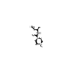 CC(NC(=O)N1CCN(C)CC1)SS